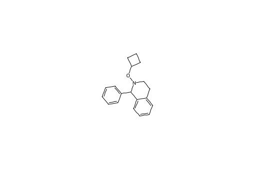 c1ccc(C2c3ccccc3CCN2OC2CCC2)cc1